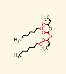 C=CC(OOCCCCCC)OC(=O)OC(C=C)OOCCCCCC